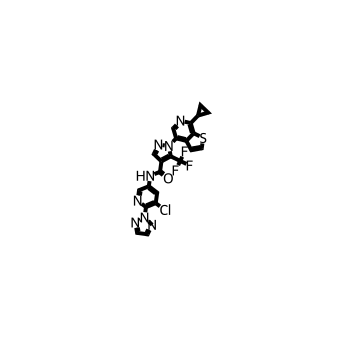 O=C(Nc1cnc(-n2nccn2)c(Cl)c1)c1cnn(-c2cnc(C3CC3)c3sccc23)c1C(F)(F)F